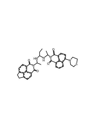 CCC(NC(C)N1C(=O)c2cccc3c(N4CCSCC4)ccc(c23)C1=O)NC(C)N1C(=O)c2ccc3c4c(ccc(c24)C1=O)CC3